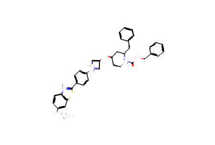 COc1ccc2nc(-c3ccc(N4CC(OC5CCN(C(=O)OCc6ccccc6)C(Cc6ccccc6)C5)C4)cc3)sc2c1